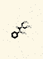 CCN(CC)C(=O)N(C)c1ccccc1